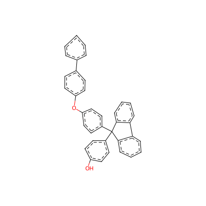 Oc1ccc(C2(c3ccc(Oc4ccc(-c5ccccc5)cc4)cc3)c3ccccc3-c3ccccc32)cc1